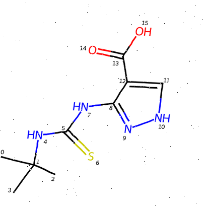 CC(C)(C)NC(=S)Nc1n[nH]cc1C(=O)O